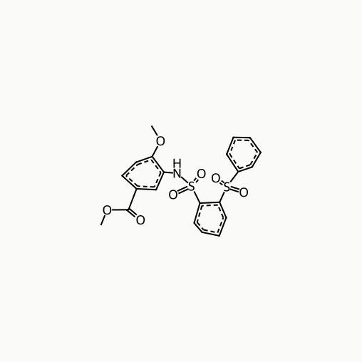 COC(=O)c1ccc(OC)c(NS(=O)(=O)c2ccccc2S(=O)(=O)c2ccccc2)c1